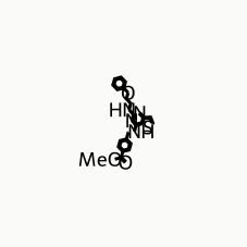 COC(=O)c1ccc(CNc2nc(NCCOc3ccccc3)nc3ccsc23)cc1